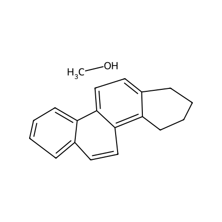 CO.c1ccc2c(c1)ccc1c3c(ccc12)CCCC3